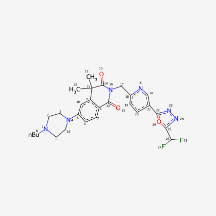 CCCCN1CCN(c2ccc3c(c2)C(C)(C)C(=O)N(Cc2ccc(-c4nnc(C(F)F)o4)cn2)C3=O)CC1